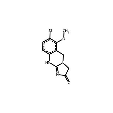 COc1c(Cl)ccc2c1CN1CC(=O)N=C1N2